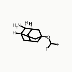 N[C@H]1[C@@H]2CC3C[C@H]1C[C@@](OC(F)F)(C3)C2